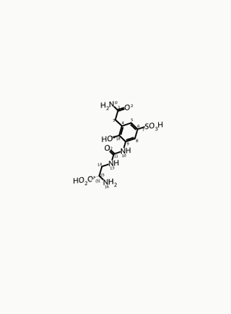 NC(=O)Cc1cc(S(=O)(=O)O)cc(NC(=O)NC[C@H](N)C(=O)O)c1O